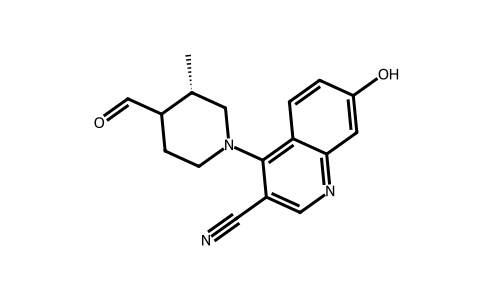 C[C@@H]1CN(c2c(C#N)cnc3cc(O)ccc23)CCC1C=O